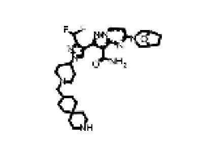 NC(=O)c1c(-c2cn(C3CCN(CC4CCC5(CCNCC5)CC4)CC3)nc2C(F)F)nn2ccc(N3CC4CCC(C3)O4)nc12